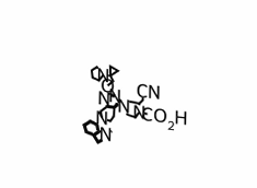 Cn1ccc2cccc(N3CCc4c(nc(OCC5(N6CCCC6)CC5)nc4N4CCN(C(=O)O)C(CC#N)C4)C3)c21